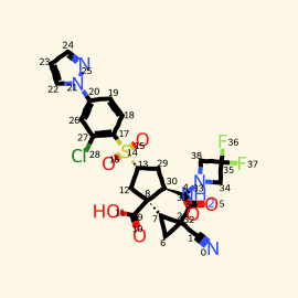 N#CC1(C(N)=O)CC1[C@]1(C(=O)O)C[C@H](S(=O)(=O)c2ccc(-n3cccn3)cc2Cl)C[C@H]1C(=O)N1CC(F)(F)C1